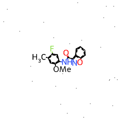 COc1cc(C)c(F)cc1NC(=O)c1noc2ccccc12